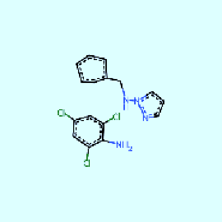 Nc1c(Cl)cc(Cl)cc1Cl.c1ccc(CNn2cccn2)cc1